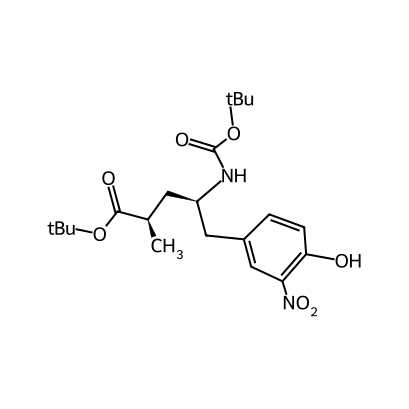 C[C@H](C[C@H](Cc1ccc(O)c([N+](=O)[O-])c1)NC(=O)OC(C)(C)C)C(=O)OC(C)(C)C